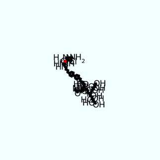 C[C@H](N)C(=O)N[C@@H](C)C(=O)N[C@@H](CCCCN(C[C@H](O)[C@@H](O)[C@H](O)[C@H](O)CO)C[C@H](O)[C@@H](O)[C@H](O)[C@H](O)CO)C(=O)NCCCc1ccc(-c2ccc(CCCCNC(=N)NC(=O)c3nc(Cl)c(N)nc3N)cc2)cc1